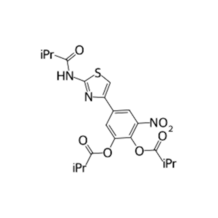 CC(C)C(=O)Nc1nc(-c2cc(OC(=O)C(C)C)c(OC(=O)C(C)C)c([N+](=O)[O-])c2)cs1